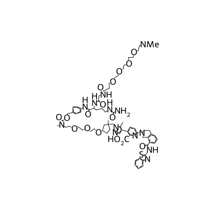 CNCCOCCOCCOCCOCCC(=O)NCC(=O)NC(CCCNC(N)=O)C(=O)Nc1ccc(COC(=O)N(C)CCOCCOCCOC2CCC(C)(Cn3ncc(-c4ccc(N5CCc6cccc(C(=O)Nc7nc8ccccc8s7)c6C5)nc4C(=O)O)c3C)C2)cc1